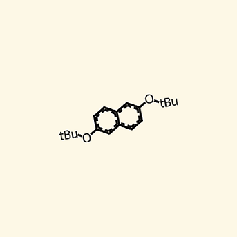 CC(C)(C)Oc1ccc2cc(OC(C)(C)C)ccc2c1